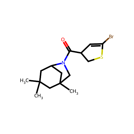 CC1(C)CC2CC(C)(CN2C(=O)C2C=C(Br)SC2)C1